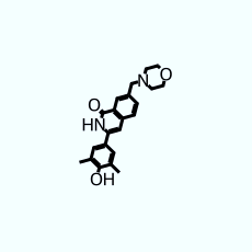 Cc1cc(-c2cc3ccc(CN4CCOCC4)cc3c(=O)[nH]2)cc(C)c1O